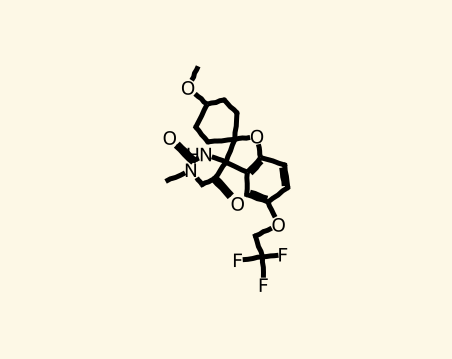 COC1CCC2(CC1)Oc1ccc(OCC(F)(F)F)cc1C21NC(=O)N(C)CC1=O